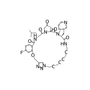 CC(C)C[C@H]1NC(=O)c2ccc(F)cc2OCc2cn(nn2)CCCCCCCCNC(=O)[C@H](Cc2cccnc2)N(C)C(=O)[C@H]2CC(=O)CN2C1=O